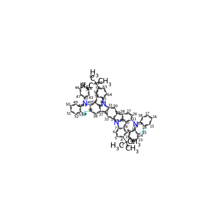 CC(C)(C)c1ccc2c(c1)c1c(N(c3ccccc3)c3ccccc3F)ccc3c4cc5c(cc4n2c31)c1ccc(N(c2ccccc2)c2ccccc2F)c2c3cc(C(C)(C)C)ccc3n5c12